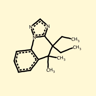 CCC1(CC)c2ncnn2-c2ccccc2C1(C)C